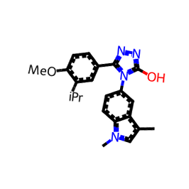 COc1ccc(-c2nnc(O)n2-c2ccc3c(c2)c(C)cn3C)cc1C(C)C